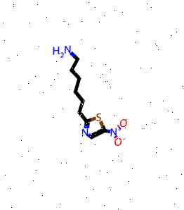 NCCCCCCc1ncc([N+](=O)[O-])s1